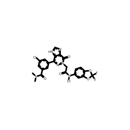 CCN(C(=O)Cn1nc(-c2cc(Cl)cc(C(=O)N(C)C)c2)c2[nH]cnc2c1=O)c1ccc2c(c1)OC(F)(F)O2